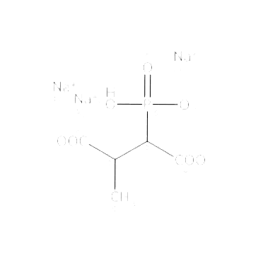 CC(C(=O)[O-])C(C(=O)[O-])P(=O)([O-])O.[Na+].[Na+].[Na+]